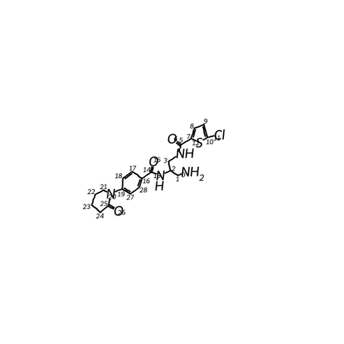 NCC(CNC(=O)c1ccc(Cl)s1)NC(=O)c1ccc(N2CCCCC2=O)cc1